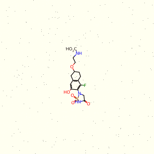 O=C(O)NCCOC1CCc2c(cc(O)c(N3CC(=O)NS3(=O)=O)c2F)C1